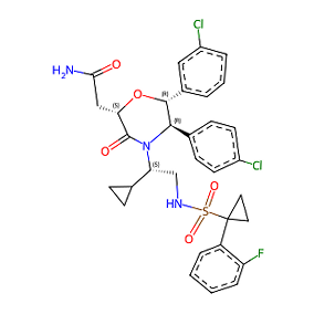 NC(=O)C[C@@H]1O[C@H](c2cccc(Cl)c2)[C@@H](c2ccc(Cl)cc2)N([C@H](CNS(=O)(=O)C2(c3ccccc3F)CC2)C2CC2)C1=O